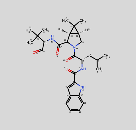 CC(C)C[C@H](NC(=O)c1cc2ccccc2[nH]1)C(=O)N1C[C@H]2[C@@H](C1C(=O)N[C@H](C=O)C(C)(C)C)C2(C)C